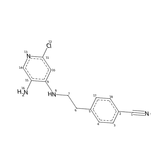 N#Cc1ccc(CCNc2cc(Cl)ncc2N)cc1